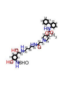 CC1(OC(=O)Nc2ccccc2-c2ccccc2)CCN(CCC(=O)NCCCCCNC[C@H](O)c2ccc(O)c(NC=O)c2)CC1